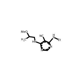 CCNc1ncnc(NCC(C)OC)c1C#N